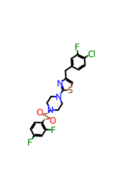 O=S(=O)(c1ccc(F)cc1F)N1CCN(c2nc(Cc3ccc(Cl)c(F)c3)cs2)CC1